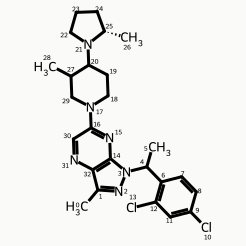 Cc1nn(C(C)c2ccc(Cl)cc2Cl)c2nc(N3CCC(N4CCC[C@@H]4C)C(C)C3)cnc12